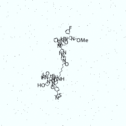 COCCN1C[C@@H](NC(=O)Nc2c(C)c(-c3cnc(N4CCN(C(=O)CCCCCCCNC(=O)C[C@H](NC(=O)[C@@H]5C[C@@H](O)CN5C(=O)[C@@H](NC(=O)C5(F)CC5)C(C)(C)C)c5ccc(-c6scnc6C)cc5)CC4)nc3)nn2-c2ccccc2)[C@H](c2cccc(F)c2)C1